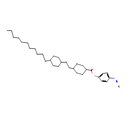 CCCCCCCCCCCC1CCC(CCC2CCC(C(=O)Oc3ccc(N=C=S)cc3)CC2)CC1